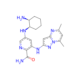 Cc1cc(C)n2nc(Nc3cc(N[C@@H]4CCCC[C@@H]4N)cnc3C(N)=O)cc2n1